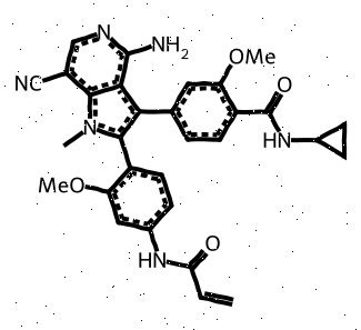 C=CC(=O)Nc1ccc(-c2c(-c3ccc(C(=O)NC4CC4)c(OC)c3)c3c(N)ncc(C#N)c3n2C)c(OC)c1